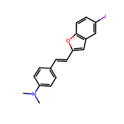 CN(C)c1ccc(C=Cc2cc3cc(I)ccc3o2)cc1